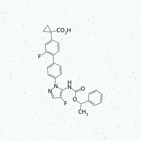 CC(OC(=O)Nc1c(F)cnn1-c1ccc(-c2ccc(C3(C(=O)O)CC3)cc2F)cc1)c1ccccc1